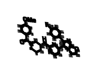 COc1ccc(C(=O)N2CCC[C@@H](Nc3nccc(-c4c(-c5ccc(F)cc5)nc5occn45)n3)C2)cc1